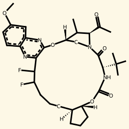 COc1ccc2nc3c(nc2c1)O[C@H]1CN(C(=O)[C@H](C(C)(C)C)NC(=O)O[C@@H]2CCC[C@H]2CCCC(F)C3F)[C@H](C(C)=O)C1C